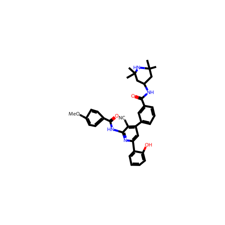 COc1ccc(C(=O)Nc2nc(-c3ccccc3O)cc(-c3cccc(C(=O)NC4CC(C)(C)NC(C)(C)C4)c3)c2C#N)cc1